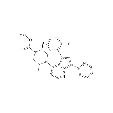 CC1CN(C(=O)OC(C)(C)C)[C@@H](C)CN1c1ncnc2c1c(-c1ccccc1F)cn2-c1ccccn1